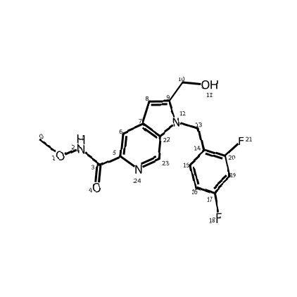 CONC(=O)c1cc2cc(CO)n(Cc3ccc(F)cc3F)c2cn1